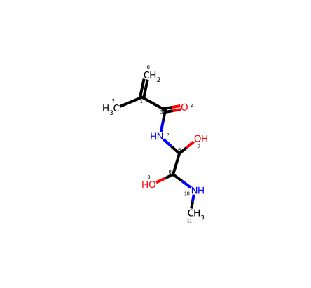 C=C(C)C(=O)NC(O)C(O)NC